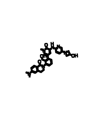 CN(C)c1ccc2c(c1)CCN(c1cccc(-c3cc(Nc4ccc(N5CC(O)C5)cn4)c(=O)n(C)c3)c1CO)C2=O